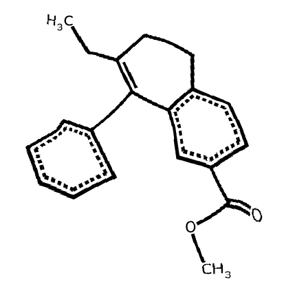 CCC1=C(c2ccccc2)c2cc(C(=O)OC)ccc2CC1